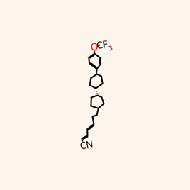 N#C/C=C/C=C/CCC1CCC([C@H]2CC[C@H](c3ccc(OC(F)(F)F)cc3)CC2)CC1